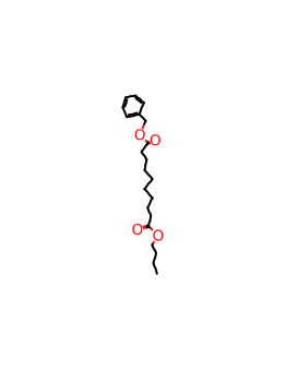 CCCCOC(=O)CCCCCCCCC(=O)OCc1ccccc1